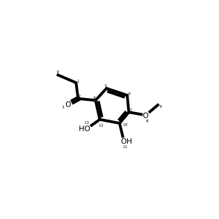 CCC(=O)c1ccc(OC)c(O)c1O